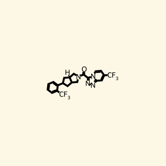 O=C(c1nnc2cc(C(F)(F)F)ccn12)N1CC2CC(c3ccccc3C(F)(F)F)C[C@@H]2C1